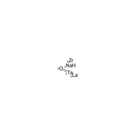 [La].[NaH].[O]=[Ta].[Zr]